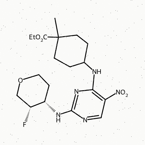 CCOC(=O)C1(C)CCC(Nc2nc(N[C@H]3CCOC[C@H]3F)ncc2[N+](=O)[O-])CC1